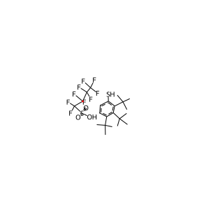 CC(C)(C)c1ccc(S)c(C(C)(C)C)c1C(C)(C)C.O=S(=O)(O)C(F)(F)C(F)(F)C(F)(F)C(F)(F)F